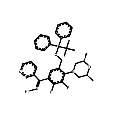 C[C@@H]1CN(c2c(CO[Si](c3ccccc3)(c3ccccc3)C(C)(C)C)cc(C(=NO)c3cccnn3)c(F)c2F)C[C@H](C)O1